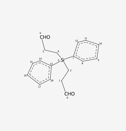 O=CCC[Si](CCC=O)(c1ccccc1)c1ccccc1